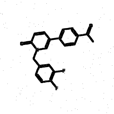 CC(=O)c1ccc(-c2ccc(=O)n(Cc3ccc(F)c(F)c3)c2)cc1